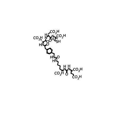 O=C(O)CC[C@H](NC(=O)N[C@@H](CCCCNC(=O)NCc1ccc(CC(=O)N[C@H](CC(=O)O)C(=O)N[C@H](CC(=O)O)C(=O)N[C@@H](CS)C(=O)O)cc1)C(=O)O)C(=O)O